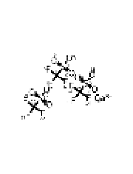 O=S(=O)([O-])C(F)(F)F.O=S(=O)([O-])C(F)(F)F.O=S(=O)([O-])C(F)(F)F.[Ga+3]